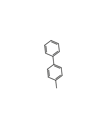 Cc1[c]cc(-c2ccccc2)cc1